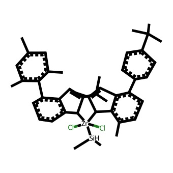 CC1=Cc2c(-c3ccc(C(C)(C)C)cc3)ccc(C)c2[CH]1[Zr]([Cl])([Cl])([CH]1C(C(C)C)=Cc2c(-c3c(C)cc(C)cc3C)cccc21)[SiH](C)C